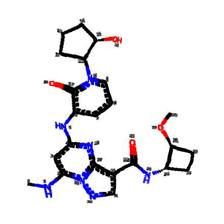 CNc1cc(Nc2cccn([C@H]3CCC[C@H]3O)c2=O)nc2c(C(=O)N[C@H]3CC[C@@H]3OC)cnn12